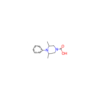 CC1CN(C(=O)O)CC(C)N1c1ccccc1